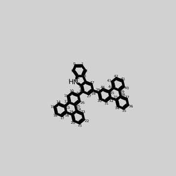 c1ccc2c(c1)[nH]c1c(-c3ccc4c5ccccc5c5ccccc5c4c3)cc(-c3ccc4c5ccccc5c5ccccc5c4c3)cc12